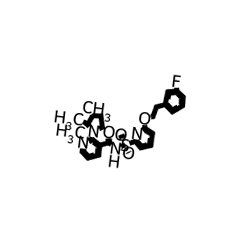 CC1CCN(c2ncccc2C(=O)NS(=O)(=O)c2cccc(OCCc3cccc(F)c3)n2)C1(C)C